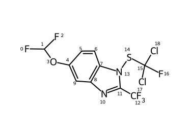 FC(F)Oc1ccc2c(c1)nc(C(F)(F)F)n2SC(F)(Cl)Cl